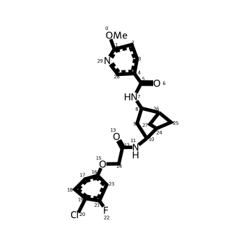 COc1ccc(C(=O)NC2CC(NC(=O)COc3ccc(Cl)c(F)c3)C3CC2C3)cn1